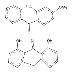 COc1ccc(C(=O)c2ccccc2)c(O)c1.O=C1c2c(O)cccc2Cc2cccc(O)c21